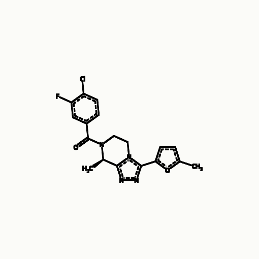 Cc1ccc(-c2nnc3n2CCN(C(=O)c2ccc(Cl)c(F)c2)[C@@H]3C)o1